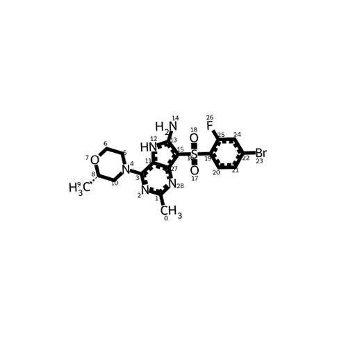 Cc1nc(N2CCO[C@@H](C)C2)c2[nH]c(N)c(S(=O)(=O)c3ccc(Br)cc3F)c2n1